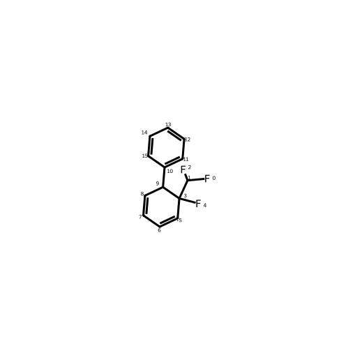 FC(F)C1(F)[C]=CC=CC1c1ccccc1